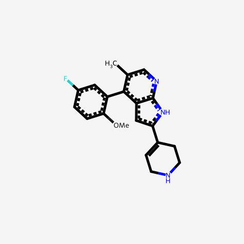 COc1ccc(F)cc1-c1c(C)cnc2[nH]c(C3=CCNCC3)cc12